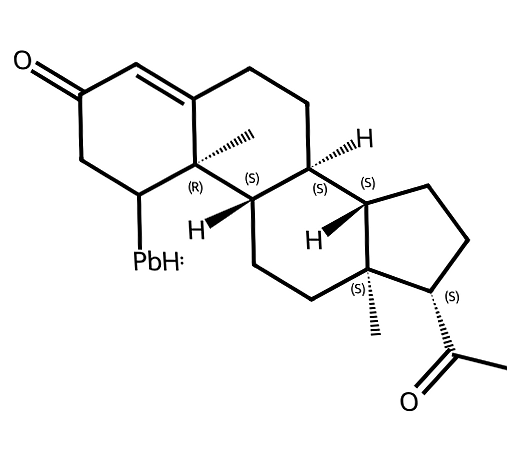 CC(=O)[C@H]1CC[C@H]2[C@@H]3CCC4=CC(=O)C[CH]([PbH])[C@]4(C)[C@H]3CC[C@]12C